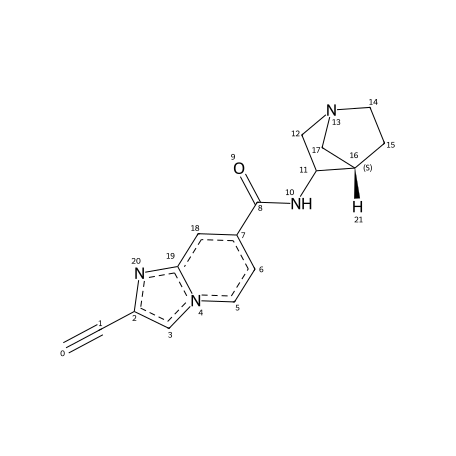 C#Cc1cn2ccc(C(=O)NC3CN4CC[C@H]3C4)cc2n1